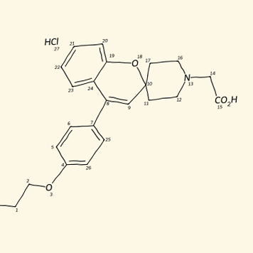 CC(C)CCOc1ccc(C2=CC3(CCN(CC(=O)O)CC3)Oc3ccccc32)cc1.Cl